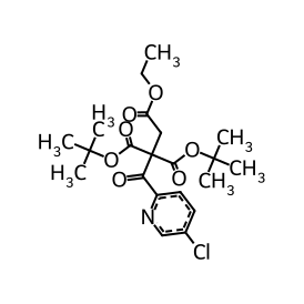 CCOC(=O)CC(C(=O)OC(C)(C)C)(C(=O)OC(C)(C)C)C(=O)c1ccc(Cl)cn1